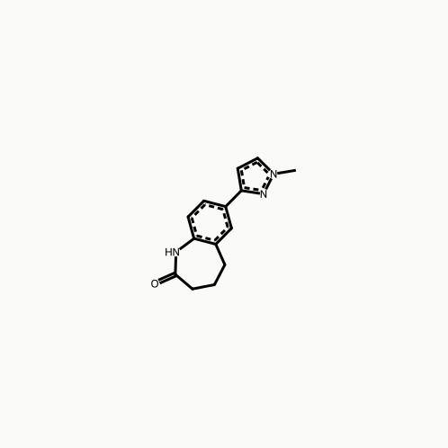 Cn1ccc(-c2ccc3c(c2)CCCC(=O)N3)n1